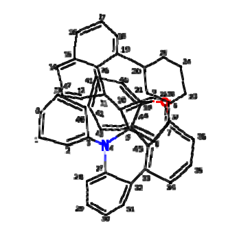 c1ccc(N(c2ccccc2-c2cccc3cccc(C4CCCCC4)c23)c2ccccc2-c2cccc3oc4ccccc4c23)cc1